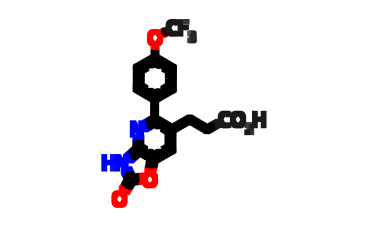 O=C(O)CCc1cc2oc(=O)[nH]c2nc1-c1ccc(OC(F)(F)F)cc1